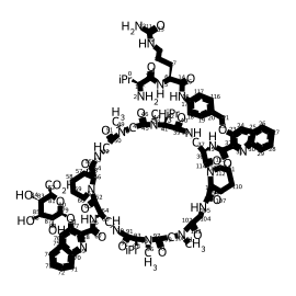 CC(C)[C@H](N)C(=O)N[C@@H](CCCNC(N)=O)C(=O)Nc1ccc(COc2cc3ccccc3nc2C(=O)N[C@@H]2CNC(=O)[C@H](C(C)C)N(C)C(=O)CN(C)C(=O)CNC(=O)[C@@H]3CCCCN3C(=O)[C@H](NC(=O)c3nc4ccccc4cc3O[C@@H]3O[C@H](C(=O)O)[C@@H](O)[C@H](O)[C@H]3O)CNC(=O)[C@H](C(C)C)N(C)C(=O)CN(C)C(=O)CNC(=O)[C@@H]3CCCCN3C2=O)cc1